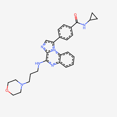 O=C(NC1CC1)c1ccc(-c2cnc3c(NCCCN4CCOCC4)nc4ccccc4n23)cc1